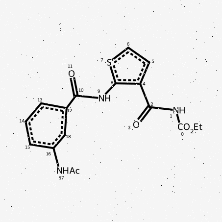 CCOC(=O)NC(=O)c1ccsc1NC(=O)c1cccc(NC(C)=O)c1